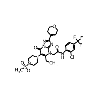 CCc1c(N2CCN(S(C)(=O)=O)CC2)c(=O)n2nc(C3=CCOCC3)nc2n1CC(=O)Nc1ccc(C(F)(F)F)cc1Cl